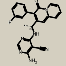 C[C@@H](Nc1ncnc(N)c1C#N)c1cc2ccccn2c(=O)c1-c1cccc(F)c1